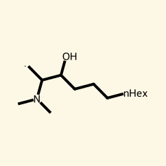 [CH2]C(C(O)CCCCCCCCC)N(C)C